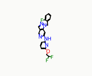 Fc1ccccc1Cn1ncc2cnc(Nc3cccc(OCC(F)F)n3)cc21